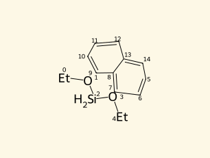 CCO[SiH2]OCC.c1ccc2ccccc2c1